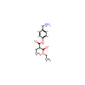 CCOC(=O)C(CC)C(=O)Oc1ccc(CN)cc1